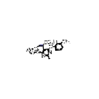 CO/C=C(/C(=O)O)c1c(Oc2cccc(C(F)(F)F)c2)nc(C)nc1SC